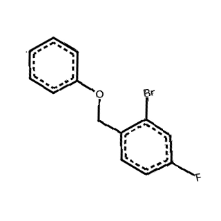 Fc1ccc(COc2cc[c]cc2)c(Br)c1